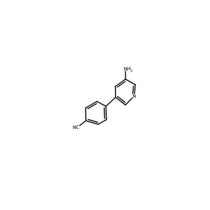 N#Cc1ccc(-c2cncc(N)c2)cc1